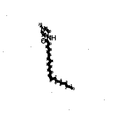 CCCCCCCC/C=C\CCCCCCCCCCCC(=O)NN1CCN(C)CC1